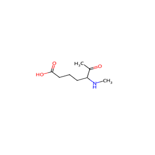 CNC(CCCC(=O)O)C(C)=O